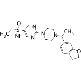 CCS(=N)(=O)c1cnc(N2CCN(C(C)c3ccc4c(c3)OCC4)CC2)nc1